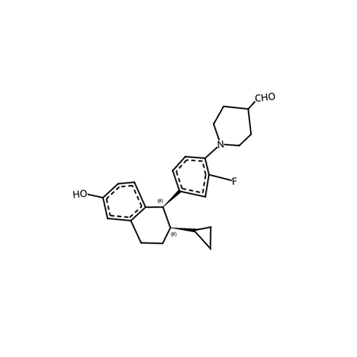 O=CC1CCN(c2ccc([C@@H]3c4ccc(O)cc4CC[C@@H]3C3CC3)cc2F)CC1